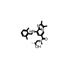 Cc1cccc(C)c1CNc1cc(C(=O)N(C)C[C@@H](C)O)cn2c(C)c(C)nc12